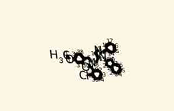 COc1ccc(CN(Cc2cnc(-c3ccccc3)n2C2Cc3ccccc3C2)C(=O)c2ccccc2Cl)cc1